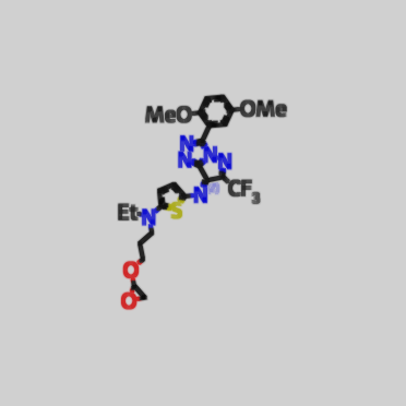 CCN(CCCOC1CO1)c1ccc(/N=C2/C(C(F)(F)F)=Nn3c2nnc3-c2cc(OC)ccc2OC)s1